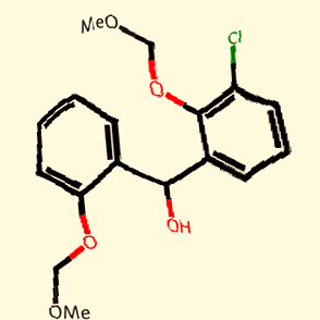 COCOc1ccccc1C(O)c1cccc(Cl)c1OCOC